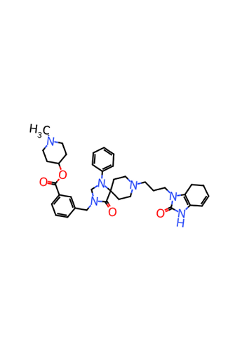 CN1CCC(OC(=O)c2cccc(CN3CN(c4ccccc4)C4(CCN(CCCn5c6c([nH]c5=O)C=CCC6)CC4)C3=O)c2)CC1